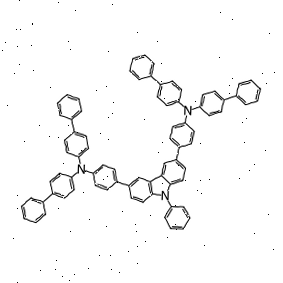 c1ccc(-c2ccc(N(c3ccc(-c4ccccc4)cc3)c3ccc(-c4ccc5c(c4)c4cc(-c6ccc(N(c7ccc(-c8ccccc8)cc7)c7ccc(-c8ccccc8)cc7)cc6)ccc4n5-c4ccccc4)cc3)cc2)cc1